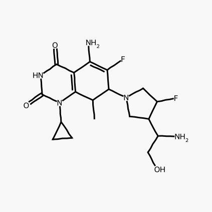 CC1c2c(c(=O)[nH]c(=O)n2C2CC2)C(N)=C(F)C1N1CC(F)C(C(N)CO)C1